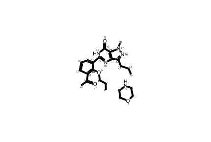 C1COCCN1.CCCOc1c(C(C)=O)cccc1-c1nc2c(CCC)nn(C)c2c(=O)[nH]1